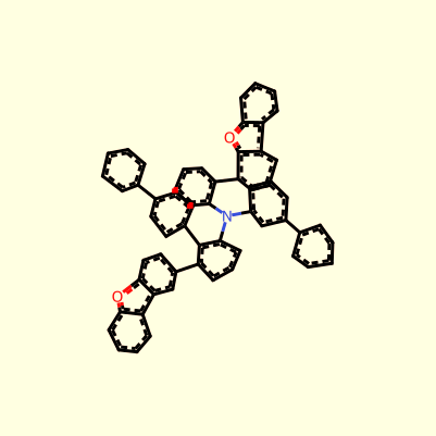 c1ccc(-c2ccc(-c3c(-c4ccc5oc6ccccc6c5c4)cccc3N(c3cccc(-c4ccccc4)c3)c3ccccc3-c3cccc4c3oc3ccccc34)cc2)cc1